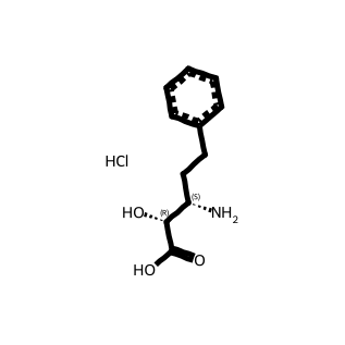 Cl.N[C@@H](CCc1ccccc1)[C@@H](O)C(=O)O